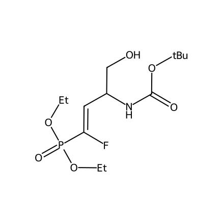 CCOP(=O)(OCC)C(F)=CC(CO)NC(=O)OC(C)(C)C